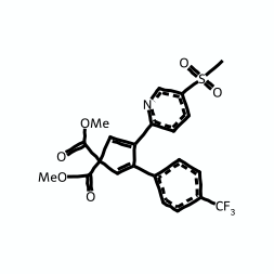 COC(=O)C1(C(=O)OC)C=C(c2ccc(C(F)(F)F)cc2)C(c2ccc(S(C)(=O)=O)cn2)=C1